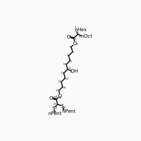 CCCCCCCCC(CCCCCC)C(=O)OCCCCCC(O)CCCCCOC(=O)C(SCCCCC)SCCCCC